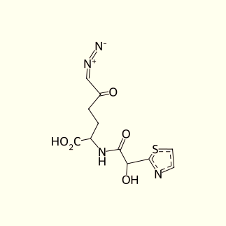 [N-]=[N+]=CC(=O)CCC(NC(=O)C(O)c1nccs1)C(=O)O